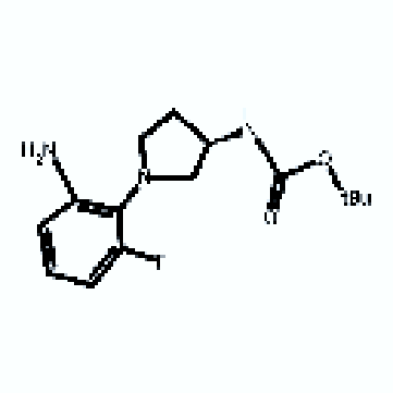 CC(C)(C)OC(=O)N[C@@H]1CCN(c2c(N)cccc2F)C1